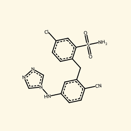 N#Cc1ccc(Nn2cnnc2)cc1Cc1ccc(Cl)cc1S(N)(=O)=O